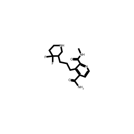 CNC(=O)c1nccc(C(N)=O)c1CCCC1CNCCC1(F)F